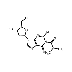 CC(C)C(=O)n1c(N)nc2c(ncn2[C@H]2C[C@H](O)[C@@H](CO)O2)c1=O